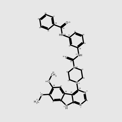 COc1cc2[nH]c3ncnc(N4CCN(C(=S)Nc5cccc(NC(=O)c6ccccc6)c5)CC4)c3c2cc1OC